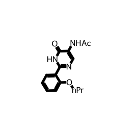 CCCOc1ccccc1-c1ncc(NC(C)=O)c(=O)[nH]1